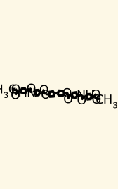 COC(=O)c1ccc(C(=O)Nc2ccc(C(=O)Oc3ccc(-c4ccc(OC(=O)c5ccc(NC(=O)c6ccc(C(=O)OC)cc6)cc5)cc4)cc3)cc2)cc1